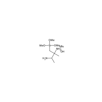 CCCCO.CO[Si](CC(C)(N)C(C)N)(OC)OC